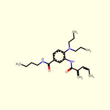 C=C(/C=C\C)C(=O)Nc1cc(C(=O)NCCCC)ccc1N(CCC)CCC